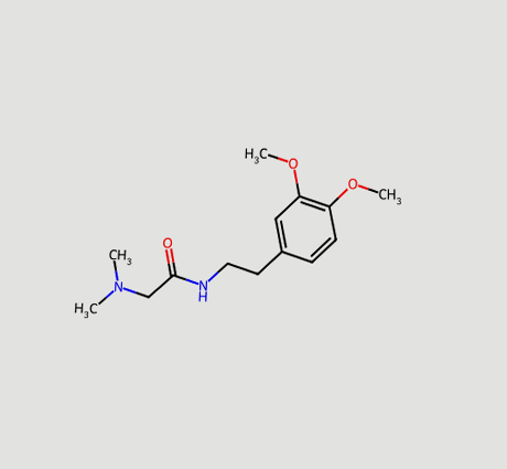 COc1ccc(CCNC(=O)CN(C)C)cc1OC